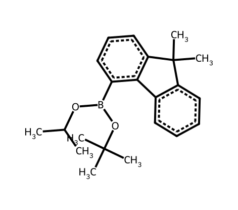 CC(C)OB(OC(C)(C)C)c1cccc2c1-c1ccccc1C2(C)C